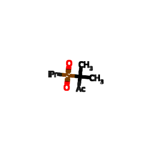 CC(=O)C(C)(C)S(=O)(=O)C(C)C